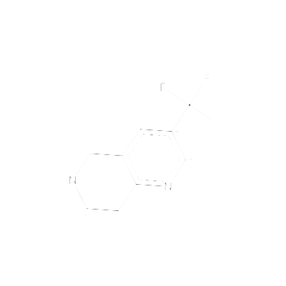 FC(F)(F)c1cnc2c(c1)C[N]CC2